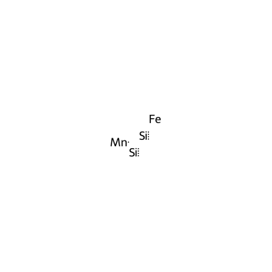 [Fe].[Mn].[Si].[Si]